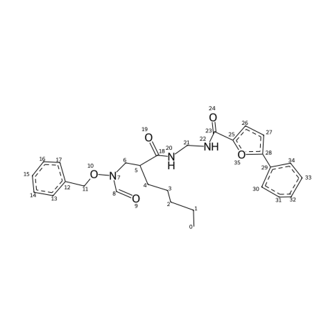 CCCCCC(CN(C=O)OCc1ccccc1)C(=O)NCNC(=O)c1ccc(-c2ccccc2)o1